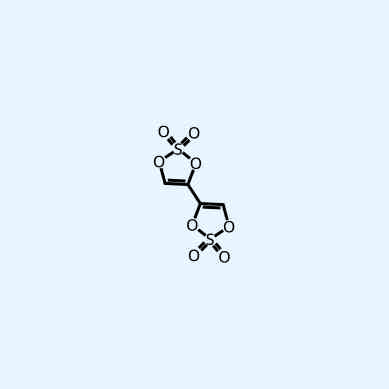 O=S1(=O)OC=C(C2=COS(=O)(=O)O2)O1